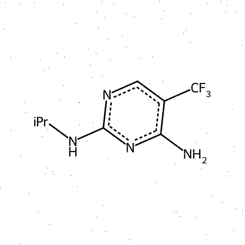 CC(C)Nc1ncc(C(F)(F)F)c(N)n1